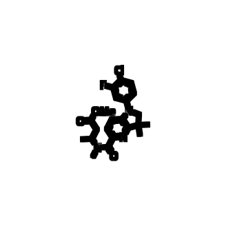 COC(=O)CC(C)N(C)C(=O)c1ccc2c(n1)C(C)(C)CN2c1ccc(Cl)c(F)c1